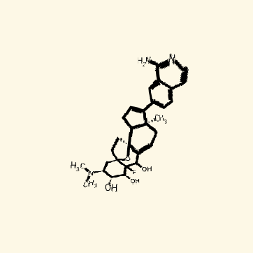 CN(C)[C@H]1C[C@@]23CC[C@@]4(O2)C(=CC[C@]2(C)C(c5ccc6ccnc(N)c6c5)=CCC24)C(O)C3(F)[C@@H](O)[C@@H]1O